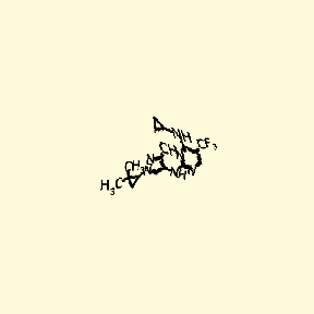 Cc1nn(C2CC2(C)C)cc1Nc1ncc(C(F)(F)F)c(NC2CC2)n1